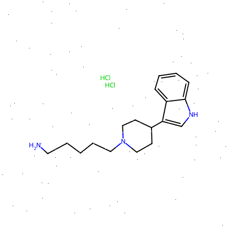 Cl.Cl.NCCCCCN1CCC(c2c[nH]c3ccccc23)CC1